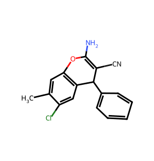 Cc1cc2c(cc1Cl)C(c1ccccc1)C(C#N)=C(N)O2